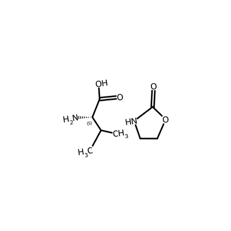 CC(C)[C@H](N)C(=O)O.O=C1NCCO1